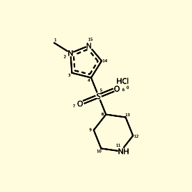 Cl.Cn1cc(S(=O)(=O)C2CCNCC2)cn1